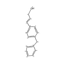 OC/C=C/c1ccc(Cc2ccccc2)cc1